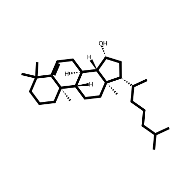 CC(C)CCCC(C)[C@H]1C[C@@H](O)[C@H]2[C@@H]3CC=C4C(C)(C)CCC[C@]4(C)[C@H]3CC[C@@]21C